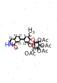 CC(=O)OC[C@H]1O[C@H](Oc2c(C)cc(-c3ccc4cc[nH]c(=O)c4c3)cc2C)[C@@H](OC(C)=O)[C@@H](OC(C)=O)[C@@H]1OC(C)=O